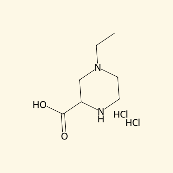 CCN1CCNC(C(=O)O)C1.Cl.Cl